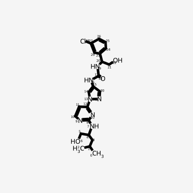 CC(C)CC(CO)Nc1nccc(-n2cc(NC(=O)NC(CO)c3cccc(Cl)c3)cn2)n1